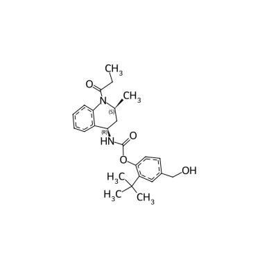 CCC(=O)N1c2ccccc2[C@H](NC(=O)Oc2ccc(CO)cc2C(C)(C)C)C[C@@H]1C